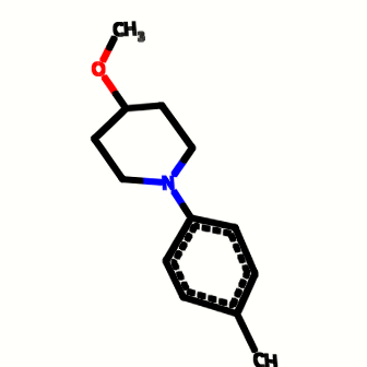 COC1CCN(c2ccc(C)cc2)CC1